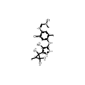 CCN(C)/C=N\c1cc(C)c(Oc2snc(C3(CC)C(C)C3(Cl)Cl)c2C#N)cc1Cl